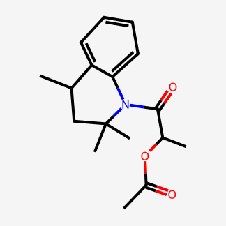 CC(=O)OC(C)C(=O)N1c2ccccc2C(C)CC1(C)C